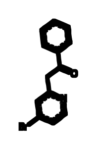 O=C(Cc1cc(Br)ccn1)c1ccccc1